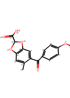 COc1ccc(C(=O)c2cc3c(cc2C)OC(C(=O)O)O3)cc1